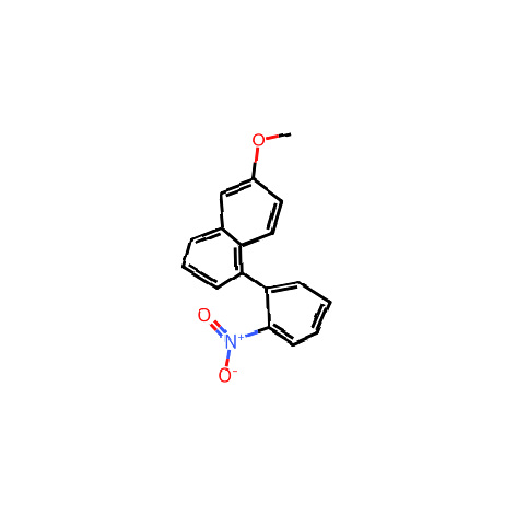 COc1ccc2c(-c3ccccc3[N+](=O)[O-])cccc2c1